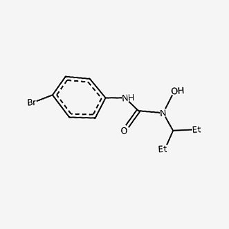 CCC(CC)N(O)C(=O)Nc1ccc(Br)cc1